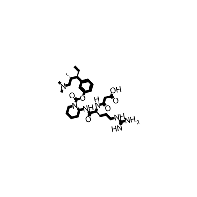 CC[C@@H](c1cccc(OC(=O)N2CCCCC2NC(=O)[C@H](CCCNC(=N)N)NC(=O)CC(=O)O)c1)[C@@H](C)CN(C)C